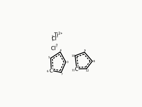 [Cl-].[Cl-].[Ti+2].c1cc[cH-]c1.c1cc[cH-]c1